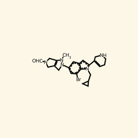 CN1C2=C(CN(C=O)C2)CN1c1cc(Br)c2c(c1)cc(C1=CCCNC1)n2CC1CC1